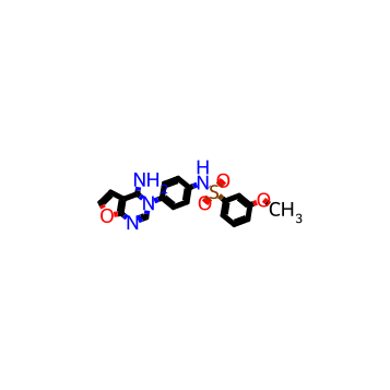 COc1cccc(S(=O)(=O)Nc2ccc(N3C=Nc4occc4C3N)cc2)c1